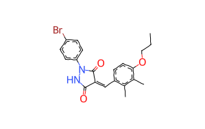 CCCOc1ccc(/C=C2/C(=O)NN(c3ccc(Br)cc3)C2=O)c(C)c1C